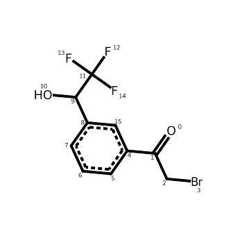 O=C(CBr)c1cccc(C(O)C(F)(F)F)c1